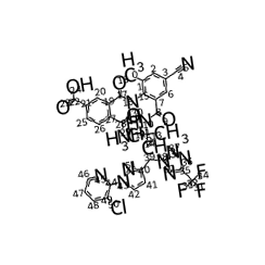 Cc1cc(C#N)cc(C(=O)NC(C)(C)C)c1NC(=O)c1cc(C(=O)O)ccc1C(N)=O.FC(F)(F)c1nnn(Cc2ccn(-c3ncccc3Cl)n2)n1